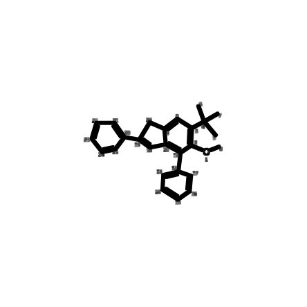 COc1c(C(C)(C)C)cc2c(c1-c1ccccc1)C=C(c1ccccc1)C2